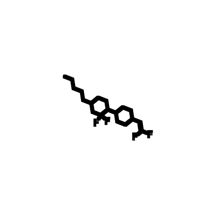 CCCCCC1CCC(C2CCC(C=C(F)F)CC2)C(F)(F)C1